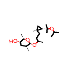 CC(C)OC(C)(C)[C@H]1C[C@]1(C)CC[C@@H](C)O[C@@H]1O[C@@H](C)[C@H](O)C[C@H]1C